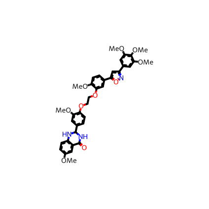 COc1ccc2c(c1)C(=O)NC(c1ccc(OCCOc3cc(-c4cc(-c5cc(OC)c(OC)c(OC)c5)no4)ccc3OC)c(OC)c1)N2